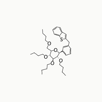 CCCCOCC1O[C@@H](c2cccc(Cc3cc4ccccc4s3)c2)[C@H](OCCCC)[C@@H](OCCCC)[C@@H]1OCCCC